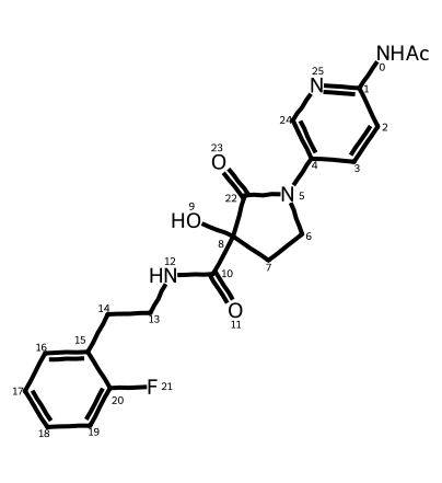 CC(=O)Nc1ccc(N2CCC(O)(C(=O)NCCc3ccccc3F)C2=O)cn1